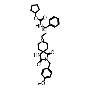 COc1ccc(CN2C(=O)NC3(CCN(CC[C@H](NC(=O)OC4CCCC4)c4ccccc4)CC3)C2=O)cc1